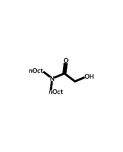 CCCCCCCCN(CCCCCCCC)C(=O)CO